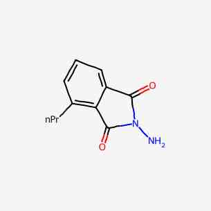 CCCc1cccc2c1C(=O)N(N)C2=O